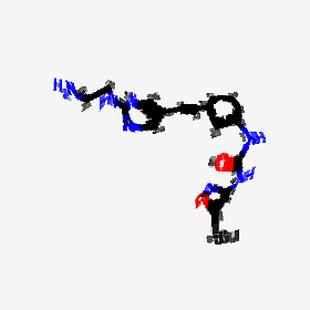 CC(C)(C)c1cc(NC(=O)Nc2cccc(C#Cc3cnc(NCCN)nc3)c2)no1